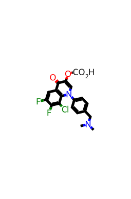 CN(C)Cc1ccc(-n2cc(OC(=O)O)c(=O)c3cc(F)c(F)c(Cl)c32)cc1